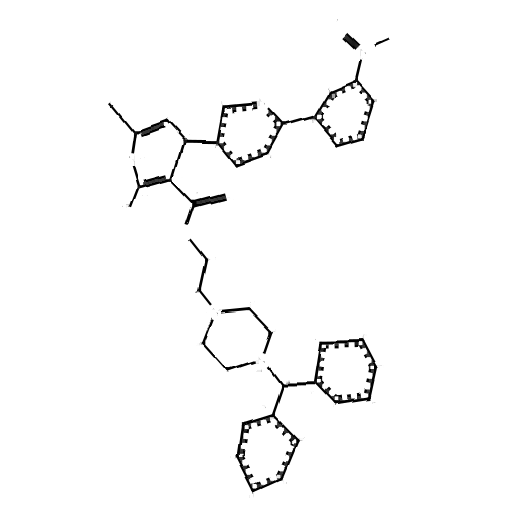 CC1=CC(c2ccc(-c3cccc([N+](=O)[O-])c3)nc2)C(C(=O)OCCN2CCN(C(c3ccccc3)c3ccccc3)CC2)=C(C)N1